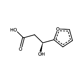 O=C(O)C[C@H](O)c1ccco1